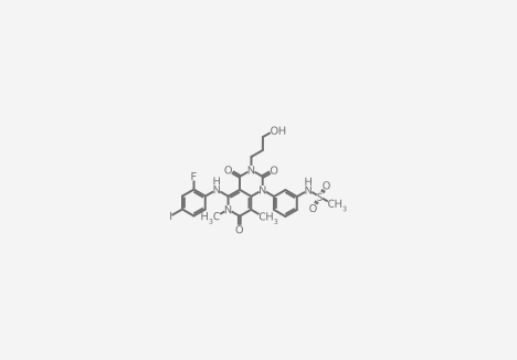 Cc1c(=O)n(C)c(Nc2ccc(I)cc2F)c2c(=O)n(CCCO)c(=O)n(-c3cccc(NS(C)(=O)=O)c3)c12